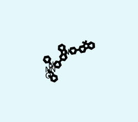 CC1(C)c2ccccc2-c2ccc(-c3ccc(-n4c5ccccc5c5cc(-c6ccc7c(c6)n(-c6ccccc6)c6nc8oc9ccccc9c8n76)ccc54)cc3)cc21